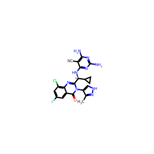 Cc1n[nH]cc1-n1c([C@@H](Nc2nc(N)nc(N)c2C#N)C2CC2)nc2c(Cl)cc(F)cc2c1=O